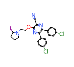 N#Cc1nc(-c2ccc(Cl)cc2)c(-c2ccc(Cl)cc2)nc1OCCN1CCCC1I